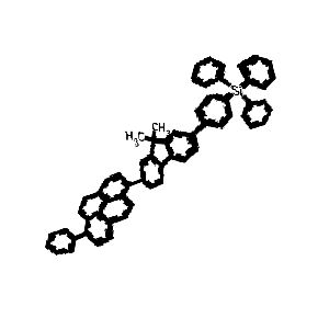 CC1(C)c2cc(-c3ccc([Si](c4ccccc4)(c4ccccc4)c4ccccc4)cc3)ccc2-c2ccc(-c3ccc4ccc5c(-c6ccccc6)ccc6ccc3c4c65)cc21